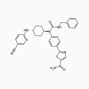 N#Cc1ccc(N[C@H]2CC[C@H](N(C(=O)NCc3ccccc3)c3ccc(-c4ncc(C(N)=O)s4)cc3)CC2)nc1